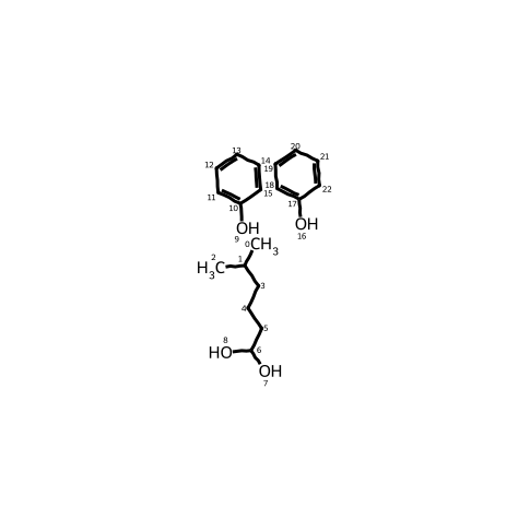 CC(C)CCCC(O)O.Oc1ccccc1.Oc1ccccc1